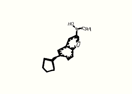 OB(O)c1cc2cc(C3CCCC3)ccc2o1